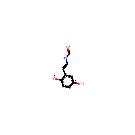 O=CNC=Cc1cc(O)ccc1O